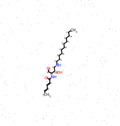 C/C=C/C=C/C(=O)N[C@H](C=O)[C@@H](O)CNCCCCCCCCCCCC